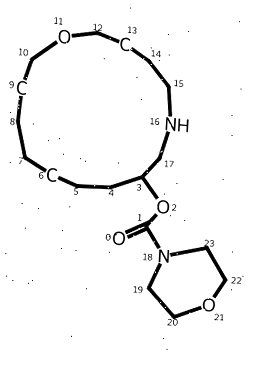 O=C(OC1CCCCCCCOCCCCNC1)N1CCOCC1